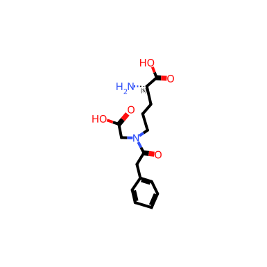 N[C@@H](CCCN(CC(=O)O)C(=O)Cc1ccccc1)C(=O)O